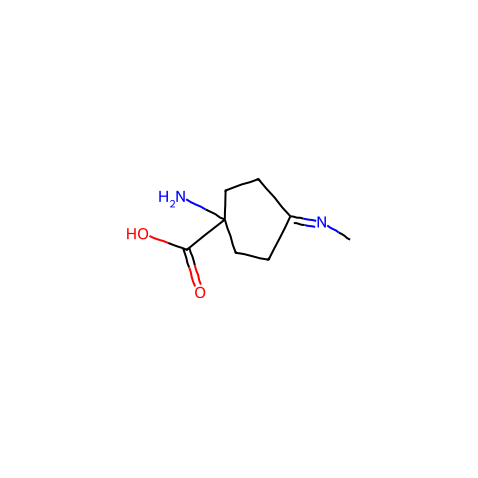 CN=C1CCC(N)(C(=O)O)CC1